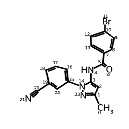 Cc1cc(NC(=O)c2ccc(Br)cc2)n(-c2cccc(C#N)c2)n1